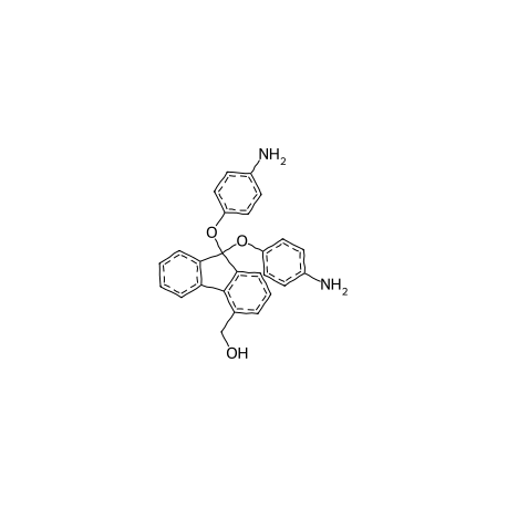 Nc1ccc(OC2(Oc3ccc(N)cc3)c3ccccc3-c3c(CO)cccc32)cc1